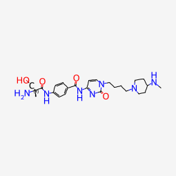 CNC1CCN(CCCCn2ccc(NC(=O)c3ccc(NC(=O)[C@](C)(N)CO)cc3)nc2=O)CC1